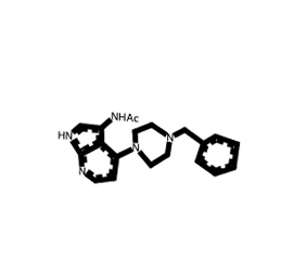 CC(=O)Nc1c[nH]c2nccc(N3CCN(Cc4ccccc4)CC3)c12